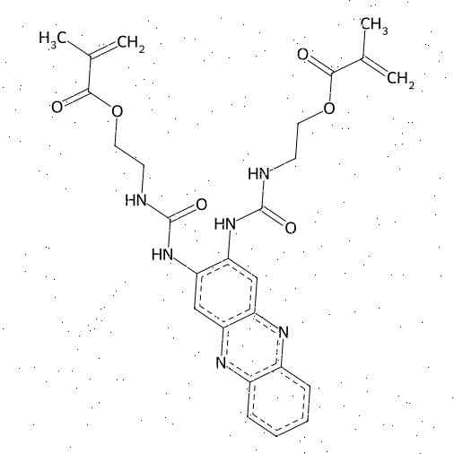 C=C(C)C(=O)OCCNC(=O)Nc1cc2nc3ccccc3nc2cc1NC(=O)NCCOC(=O)C(=C)C